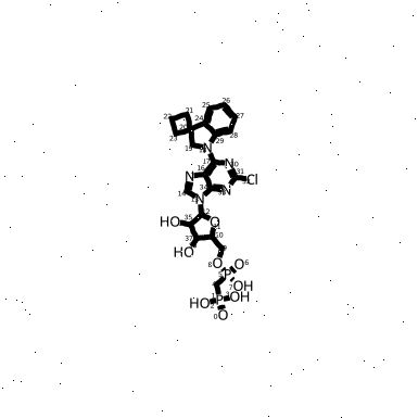 O=P(O)(O)CP(=O)(O)OCC1OC(n2cnc3c(N4CC5(CCC5)c5ccccc54)nc(Cl)nc32)C(O)C1O